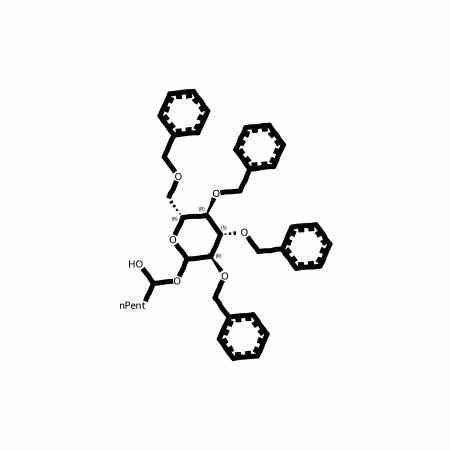 CCCCCC(O)OC1O[C@H](COCc2ccccc2)[C@@H](OCc2ccccc2)[C@H](OCc2ccccc2)[C@H]1OCc1ccccc1